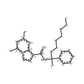 CCCCCCCC(C)(NC(=O)c1ccn2c(C)cc(C)nc12)c1ccccc1